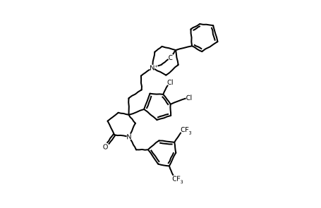 O=C1CCC(CCC[N+]23CCC(c4ccccc4)(CC2)CC3)(c2ccc(Cl)c(Cl)c2)CN1Cc1cc(C(F)(F)F)cc(C(F)(F)F)c1